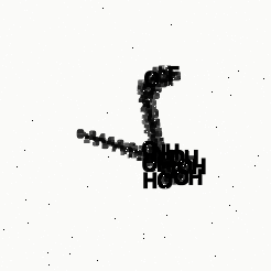 CCCCCCCCCCCCCCC[C@@H](O)[C@H](CO[C@H]1OC(CO)[C@H](O)C(O)C1O)NC(=O)CCCCCCCCCCc1ccc(Oc2ccc(F)cc2)cc1